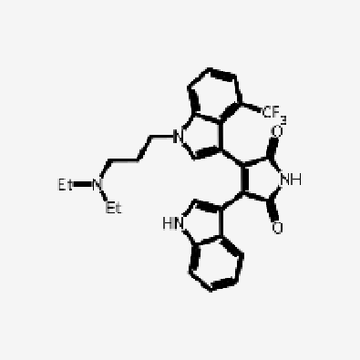 CCN(CC)CCCn1cc(C2=C(c3c[nH]c4ccccc34)C(=O)NC2=O)c2c(C(F)(F)F)cccc21